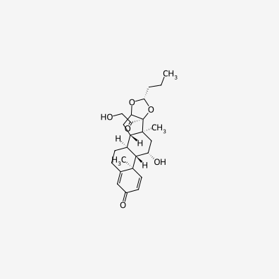 CCC[C@H]1OC2C[C@H]3[C@@H]4CCC5=CC(=O)C=C[C@]5(C)[C@H]4[C@@H](O)C[C@]3(C)[C@]2(C(=O)CO)O1